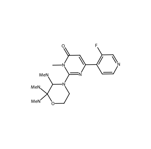 CNC1N(c2nc(-c3ccncc3F)cc(=O)n2C)CCOC1(NC)NC